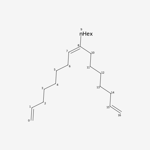 C=CCCCCCC=C(CCCCCC)CCCCCC=C